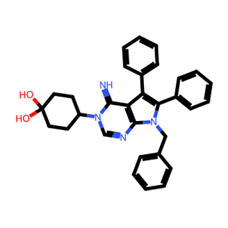 N=c1c2c(-c3ccccc3)c(-c3ccccc3)n(Cc3ccccc3)c2ncn1C1CCC(O)(O)CC1